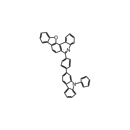 c1ccc(-n2c3ccccc3c3ccc(-c4ccc(-c5nc6ccccc6c6c5ccc5c7ccccc7oc56)cc4)cc32)cc1